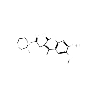 COc1cc2c(C)c(CC(=O)N3CCOC[C@@H]3C)c(=O)oc2cc1O